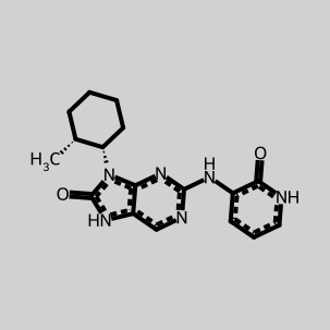 C[C@@H]1CCCC[C@@H]1n1c(=O)[nH]c2cnc(Nc3ccc[nH]c3=O)nc21